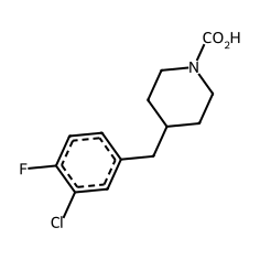 O=C(O)N1CCC(Cc2ccc(F)c(Cl)c2)CC1